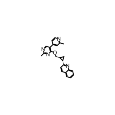 Cc1cc(-c2cnc(C)nc2OC[C@H]2C[C@@H]2c2ccc3ccccc3n2)ccn1